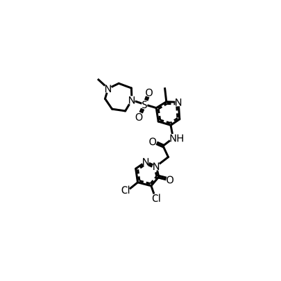 Cc1ncc(NC(=O)Cn2ncc(Cl)c(Cl)c2=O)cc1S(=O)(=O)N1CCCN(C)CC1